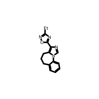 CCc1noc(-c2ncn3c2CCCc2ccccc2-3)n1